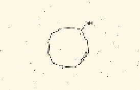 SC1CC=CCCCC=CCCC1